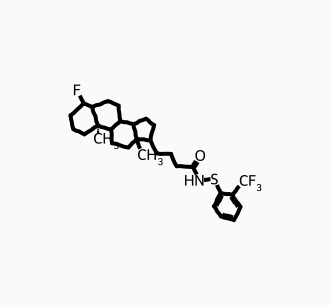 CC12CCC3C(CCC4C(F)CCC[C@@]43C)C1CCC2CCCC(=O)NSc1ccccc1C(F)(F)F